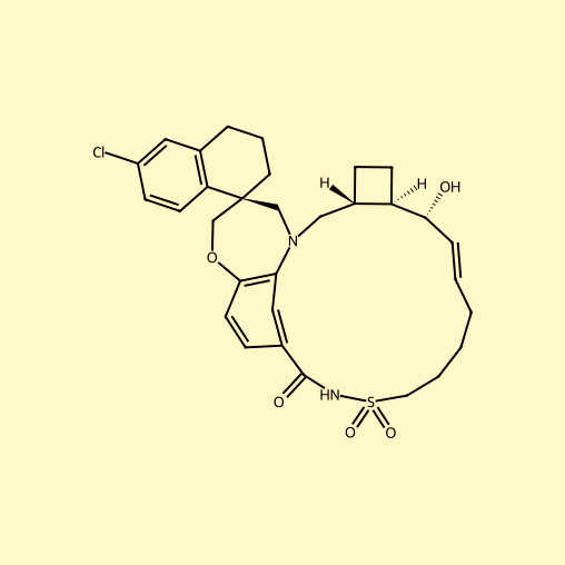 O=C1NS(=O)(=O)CCCC/C=C/[C@@H](O)[C@@H]2CC[C@H]2CN2C[C@@]3(CCCc4cc(Cl)ccc43)COc3ccc1cc32